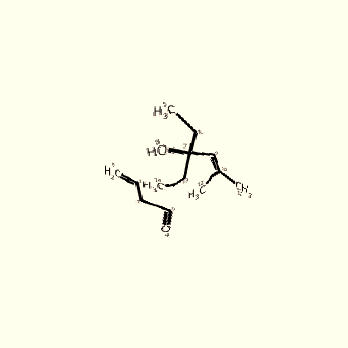 C=CCC=O.CCC(O)(C=C(C)C)CC